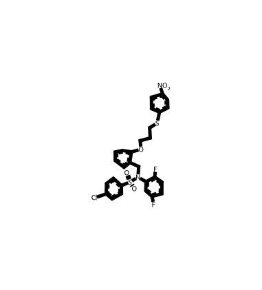 O=[N+]([O-])c1ccc(SCCCOc2ccccc2CN(c2cc(F)ccc2F)S(=O)(=O)c2ccc(Cl)cc2)cc1